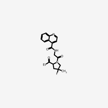 CCC(=O)C1CC(C)(F)CN1C(=O)CNC(=O)c1ccnc2ccccc12